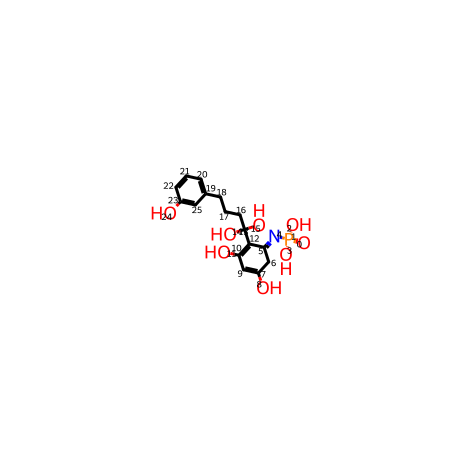 O=P(O)(O)N=C1CC(O)=CC(O)=C1C(O)(O)CCCc1cccc(O)c1